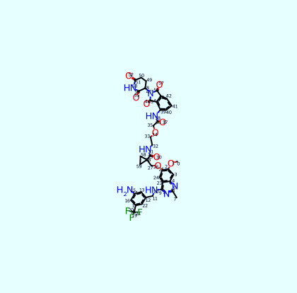 COc1cc2nc(C)nc(NCc3cc(N)cc(C(F)(F)F)c3)c2cc1OCC1(C(=O)NCCOCC(=O)Nc2cccc3c2C(=O)N(C2CCC(=O)NC2=O)C3=O)CC1